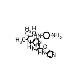 CC(Nc1cc(N[C@H]2CC[C@H](N)CC2)nn2c(C(=O)Nc3ccncc3)cnc12)[C@H](C)CO